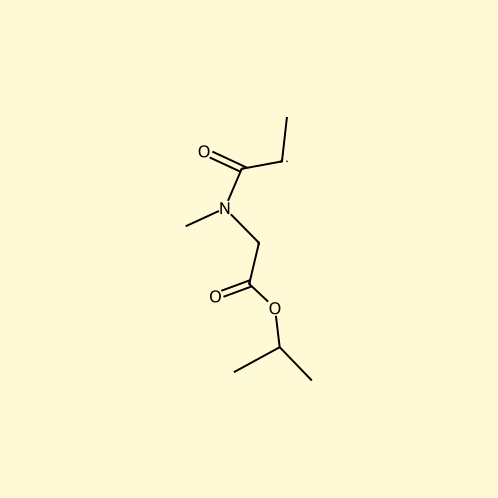 C[CH]C(=O)N(C)CC(=O)OC(C)C